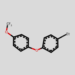 [CH2]Cc1ccc(Oc2ccc(OC(F)(F)F)cc2)cc1